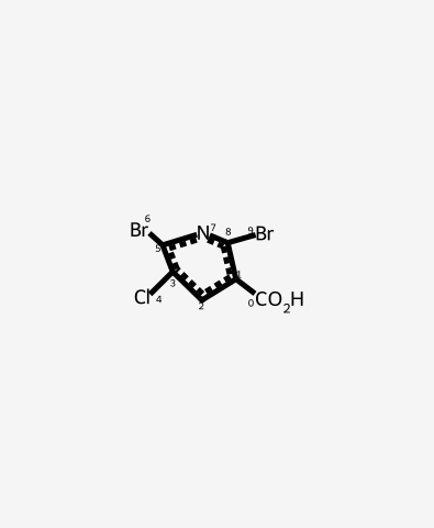 O=C(O)c1cc(Cl)c(Br)nc1Br